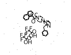 C[N+]1(C(=O)c2cccc3ccccc23)CCN(n2ccnc2Cc2ccccc2)CC1.O=C(O)C(F)(F)F.O=C(O)C(F)(F)F